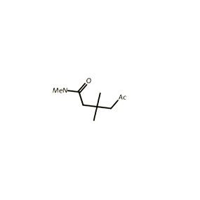 CNC(=O)CC(C)(C)CC(C)=O